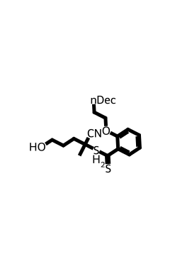 CCCCCCCCCCCCOc1ccccc1C(=S)[SH2]C(C)(C#N)CCCO